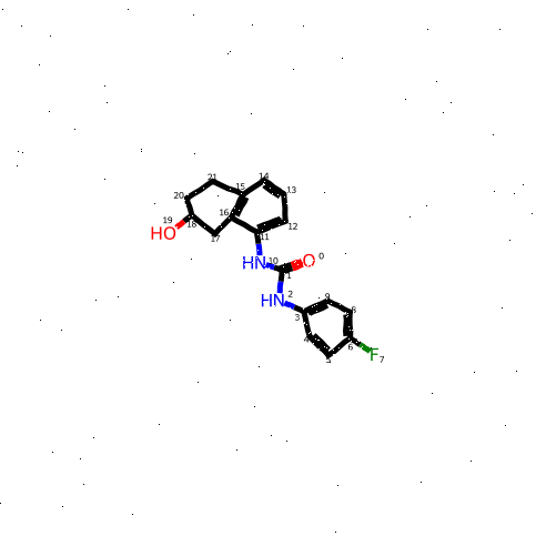 O=C(Nc1ccc(F)cc1)Nc1cccc2c1CC(O)CC2